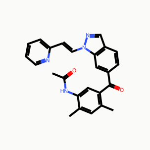 CC(=O)Nc1cc(C(=O)c2ccc3cnn(C=Cc4ccccn4)c3c2)c(C)cc1C